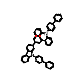 c1ccc(-c2ccc(N(c3ccccc3)c3ccccc3-c3cccc(-c4ccc5c6ccccc6n(-c6ccc(-c7ccccc7)cc6)c5c4)c3)cc2)cc1